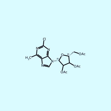 CC(=O)OC[C@H]1O[C@@H](n2cnc3c(C)nc(Cl)nc32)C(OC(C)=O)C1OC(C)=O